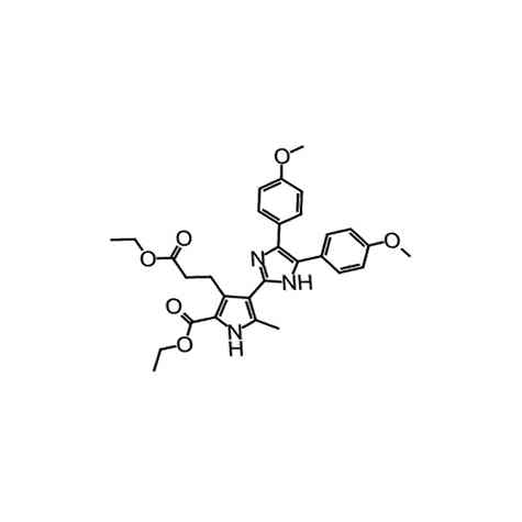 CCOC(=O)CCc1c(C(=O)OCC)[nH]c(C)c1-c1nc(-c2ccc(OC)cc2)c(-c2ccc(OC)cc2)[nH]1